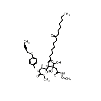 CC#CCOc1ccc(C[C@H](NC(=O)[C@@H](C=CCCCCCCC(=O)CCCCCCC)[C@@](O)(CC(=O)NOC)C(=O)O)C(=O)OC)cc1